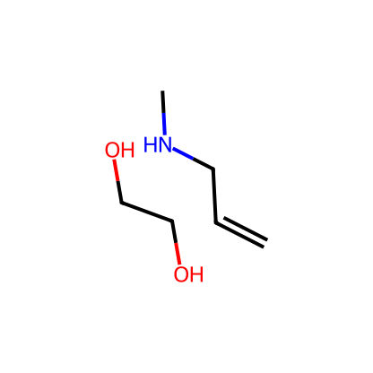 C=CCNC.OCCO